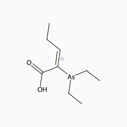 CC/C=C(\C(=O)O)[As](CC)CC